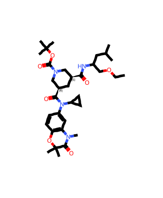 CCOCC(CC(C)C)NC(=O)[C@H]1C[C@@H](C(=O)N(c2ccc3c(c2)N(C)C(=O)C(C)(C)O3)C2CC2)CN(C(=O)OC(C)(C)C)C1